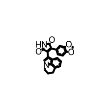 O=C1NC(=O)C(c2cn3c4c(cccc24)CCC3)=C1c1ccc2c(c1)OCO2